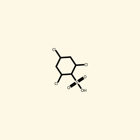 O=S(=O)(O)C1C(Cl)CC(Cl)CC1Cl